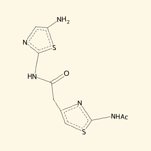 CC(=O)Nc1nc(CC(=O)Nc2ncc(N)s2)cs1